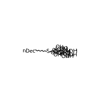 CCCCCCCCCCCCCCCCCCSCCO[C@H]1O[C@H](CO)[C@@H](O[C@@H]2O[C@H](CO)[C@H](O[C@@H]3O[C@H](CO)[C@H](O)[C@H](O)[C@H]3O)[C@H](O)[C@H]2O)[C@H](O)[C@H]1O